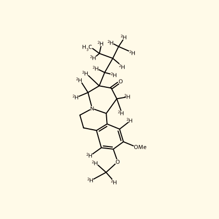 [2H]c1c2c(c([2H])c(OC)c1OC([2H])([2H])[2H])C1N(CC2)C([2H])([2H])C([2H])(C([2H])([2H])C([2H])(C([2H])([2H])[2H])C([2H])([2H])C)C(=O)C1([2H])[2H]